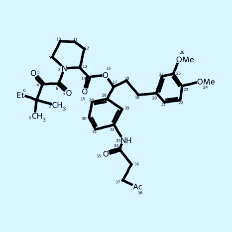 CCC(C)(C)C(=O)C(=O)N1CCCCC1C(=O)OC(CCc1ccc(OC)c(OC)c1)c1cccc(NC(=O)CCC(C)=O)c1